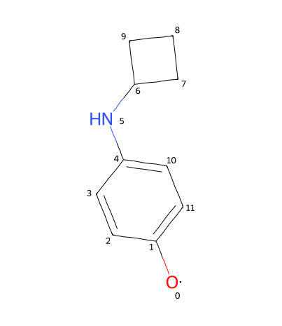 [O]c1ccc(NC2CCC2)cc1